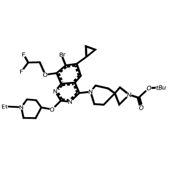 CCN1CCC(Oc2nc(N3CCC4(CC3)CN(C(=O)OC(C)(C)C)C4)c3cc(C4CC4)c(Br)c(OCC(F)F)c3n2)CC1